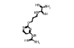 N=C(N)Nc1ccnc(OCCCNC(=N)C(=N)N)n1